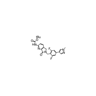 Cn1cc(-c2cc(F)c(CN3Cc4ccc(NC(=O)OC(C)(C)C)nc4C3=O)c(F)c2)cn1